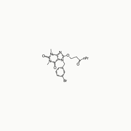 CCCC(=O)CCOc1nc2c(c(=O)n(C)c(=O)n2C)n1Cc1cccc(Br)c1